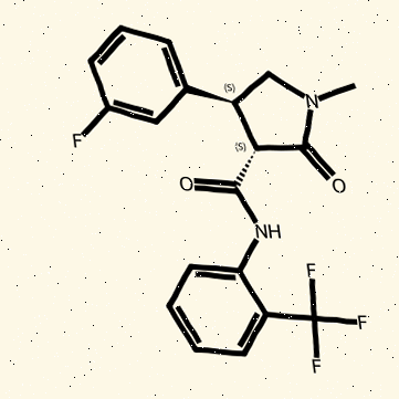 CN1C[C@H](c2cccc(F)c2)[C@@H](C(=O)Nc2ccccc2C(F)(F)F)C1=O